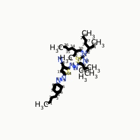 CCCCc1ccc(N=Nc2cc(C#N)c(N=Nc3sc(N(CC(CC)CCCC)CC(CC)CCCC)nc3C(C)(C)C)s2)cc1